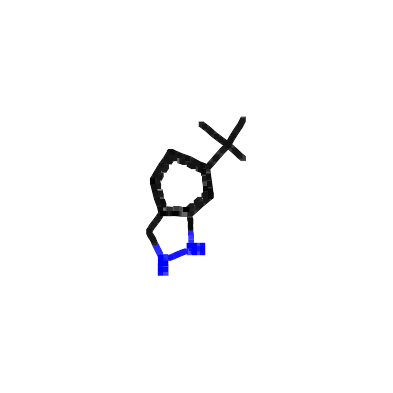 CC(C)(C)c1ccc2c(c1)NNC2